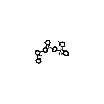 Cc1cccc(-n2c(-c3ccc(-n4c5ccccc5c5cc(-c6cccc7c6sc6ccccc67)ccc54)cc3)nc3ccccc32)c1